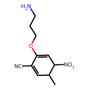 CC1C=C(C#N)C(OCCCN)=CC1[N+](=O)[O-]